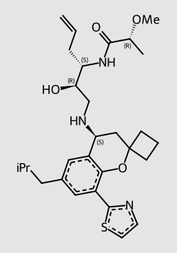 C=CC[C@H](NC(=O)[C@@H](C)OC)[C@H](O)CN[C@H]1CC2(CCC2)Oc2c(-c3nccs3)cc(CC(C)C)cc21